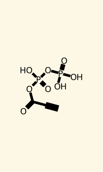 C#CC(=O)OP(=O)(O)OP(=O)(O)O